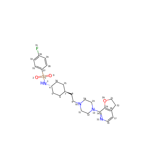 O=S(=O)(N[C@H]1CC[C@H](CCN2CCN(c3nccc4c3OCC4)CC2)CC1)c1ccc(F)cc1